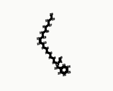 C=CN(CCCCCCCC/C=C\CCCCCCCC)Cc1ccccc1